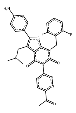 CC(=O)c1ccc(-n2c(=O)c3c(CN(C)C)c(-c4ccc(N)cc4)sc3n(Cc3c(F)cccc3F)c2=O)nn1